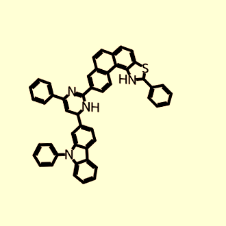 C1=C(c2ccccc2)N=C(c2ccc3c(ccc4ccc5c(c43)NC(c3ccccc3)S5)c2)NC1c1ccc2c3ccccc3n(-c3ccccc3)c2c1